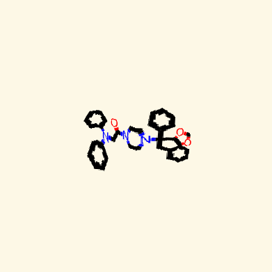 O=C(CN(c1ccccc1)c1ccccc1)N1CCN(C(Cc2ccccc2)(C2=COCO2)c2ccccc2)CC1